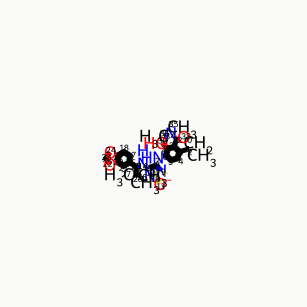 C=C(C)c1ccc(Nc2n[s+]([O-])nc2N[C@@H](c2ccc3c(c2)OCO3)C(C)(C)C)c(O)c1C(=O)N(C)C